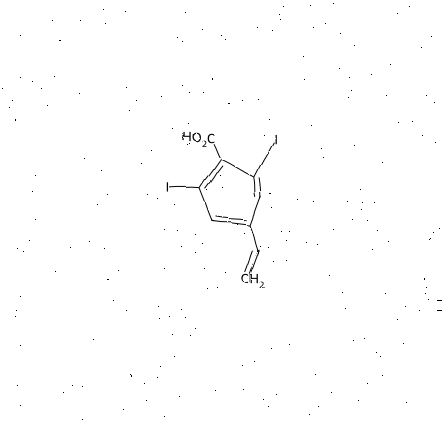 C=Cc1cc(I)c(C(=O)O)c(I)c1